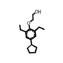 CCc1cc(C2CCCC2)cc(CC)c1OCCO